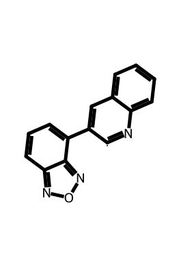 [c]1nc2ccccc2cc1-c1cccc2nonc12